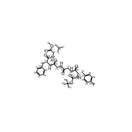 COC(=O)[C@H](CC(C)C)NC(=O)[C@H](Cc1ccccc1)NC(=O)CNC(=O)CNC(=O)[C@H](Cc1ccc(F)cc1)NC(=O)OC(C)(C)C